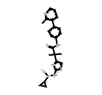 Cc1ncccc1-c1ccc(NC(=O)C(C)(C)c2csc(N[S+]([O-])C3CC3)n2)cc1